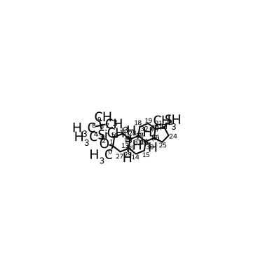 CC1(O[Si](C)(C)C(C)(C)C)CC[C@H]2[C@H](CC[C@@H]3[C@@H]2CC[C@]2(C)[C@@H](S)CC[C@@H]32)C1